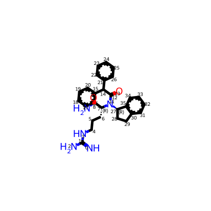 N=C(N)NCCC[C@H](C(N)=O)N(C(=O)C(c1ccccc1)c1ccccc1)[C@@H]1CCc2ccccc21